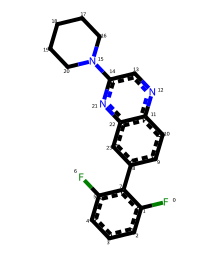 Fc1cccc(F)c1-c1ccc2ncc(N3CCCCC3)nc2c1